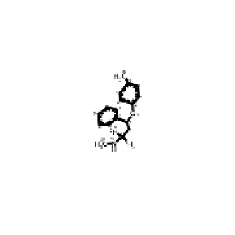 [2H]C([2H])(CC(Oc1ccc(C)cc1)c1ccccc1)NC